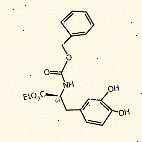 CCOC(=O)[C@H](Cc1ccc(O)c(O)c1)NC(=O)OCc1ccccc1